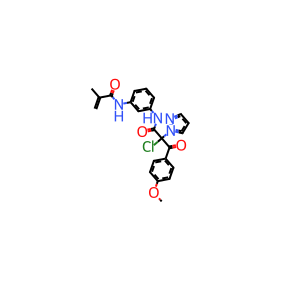 C=C(C)C(=O)Nc1cccc(NC(=O)C(Cl)(C(=O)c2ccc(OC)cc2)n2cccn2)c1